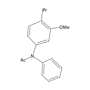 COc1cc(N(C(C)=O)c2ccccc2)ccc1C(C)C